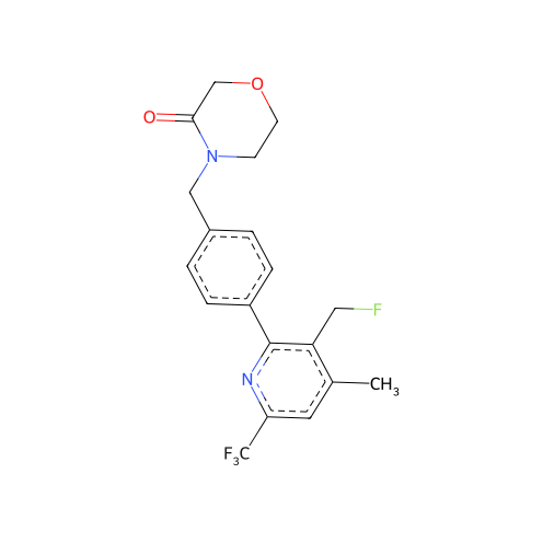 Cc1cc(C(F)(F)F)nc(-c2ccc(CN3CCOCC3=O)cc2)c1CF